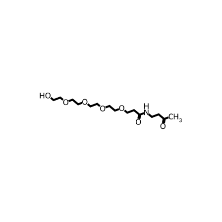 CC(=O)CCNC(=O)CCOCCOCCOCCOCCO